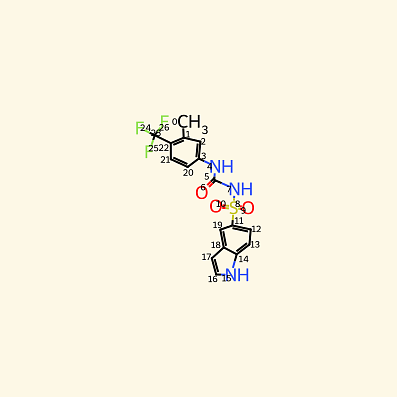 Cc1cc(NC(=O)NS(=O)(=O)c2ccc3[nH]ccc3c2)ccc1C(F)(F)F